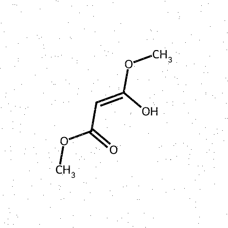 COC(=O)/C=C(\O)OC